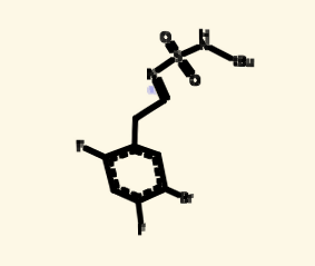 CC(C)(C)NS(=O)(=O)/N=C/Cc1cc(Br)c(F)cc1F